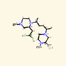 CC(C)N1CCN(C(C)CCC(C)N2CCN(C(C)C)C(C(F)(F)F)C2)C(CC(F)F)C1